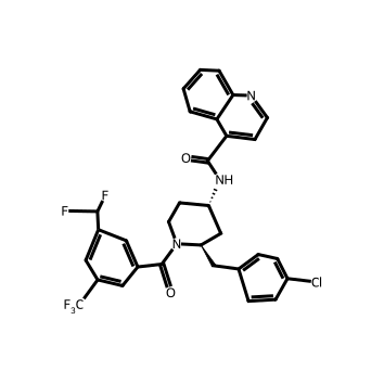 O=C(N[C@H]1CCN(C(=O)c2cc(C(F)F)cc(C(F)(F)F)c2)[C@H](Cc2ccc(Cl)cc2)C1)c1ccnc2ccccc12